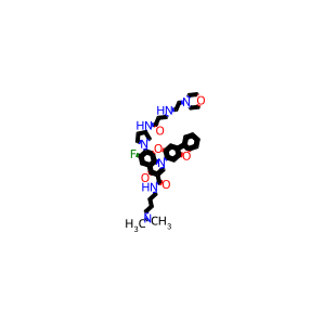 CN(C)CCCCNC(=O)c1cn2c3c(c(N4CC[C@@H](NC(=O)CCNCCN5CCOCC5)C4)c(F)cc3c1=O)Oc1cc3c(cc1-2)oc1ccccc13